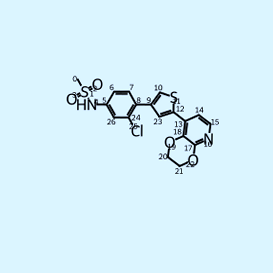 CS(=O)(=O)Nc1ccc(-c2csc(-c3ccnc4c3OCCO4)c2)c(Cl)c1